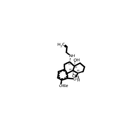 C=CCN[C@H]1Cc2ccc(OC)c3c2[C@]2(C)[C@@H](CCC[C@]12O)O3